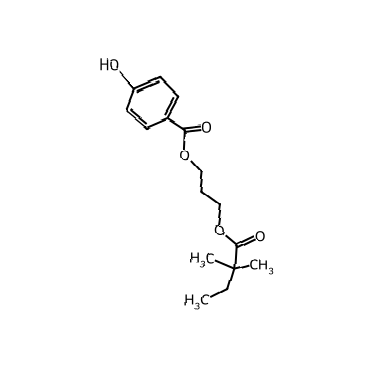 CCC(C)(C)C(=O)OCCCOC(=O)c1ccc(O)cc1